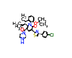 CCc1cccc(OC(C)C)c1-n1c(C=C(C)C)c(C(=O)N2CCNCC2)cc(-c2nc(-c3ccc(Cl)cc3)cs2)c1=O